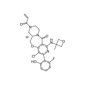 C=CC(=O)N1CCN2C(=O)c3c(NC4(C)COC4)nc(-c4c(O)cccc4F)c(Cl)c3OC[C@H]2C1